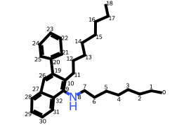 CCCCCCCCNc1c(CCCCCCCC)c(-c2ccccc2)cc2ccccc12